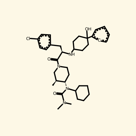 C[C@H]1CN(C(=O)[C@@H](Cc2ccc(Cl)cc2)NC2CCC(O)(c3ccccc3)CC2)CC[C@@H]1N(C(=O)N(C)C)C1CCCCC1